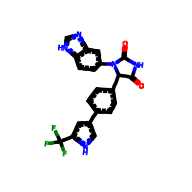 O=C1NC(=O)N(c2ccc3[nH]cnc3c2)C1c1ccc(-c2c[nH]c(C(F)(F)F)c2)cc1